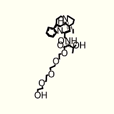 CC[C@@]12C=C(C(=O)N[C@H](C(=O)OCCOCCOCCOCCO)C(C)O)n3c4c(c5ccccc53)CCN(CCC1)[C@H]42